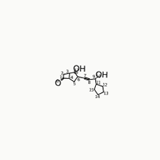 O=C1CC2C1CC(C#CC(O)C1CCCC1)C2O